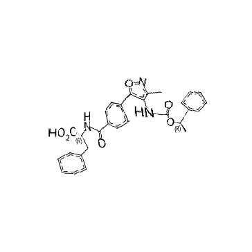 Cc1noc(-c2ccc(C(=O)N[C@H](Cc3ccccc3)C(=O)O)cc2)c1NC(=O)O[C@H](C)c1ccccc1